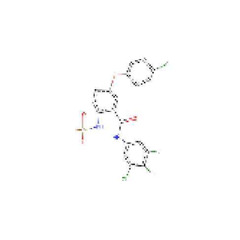 CS(=O)(=O)Nc1ccc(Oc2ccc(Cl)cc2)cc1C(=O)Nc1cc(Cl)c(Cl)c(Cl)c1